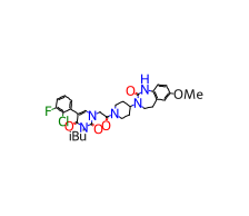 CCC(C)n1c(=O)c(-c2cccc(F)c2Cl)cn(CC(=O)N2CCC(N3CCc4cc(OC)ccc4NC3=O)CC2)c1=O